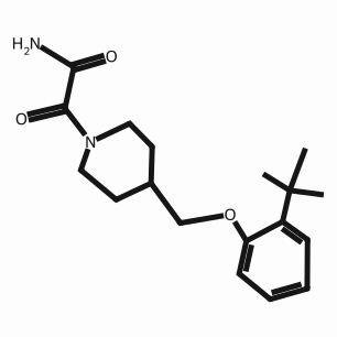 CC(C)(C)c1ccccc1OCC1CCN(C(=O)C(N)=O)CC1